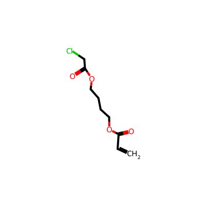 C=CC(=O)OCCCCOC(=O)CCl